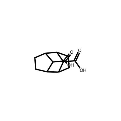 O=C(O)C1C2CCC1C1CCC2C1C(=O)O